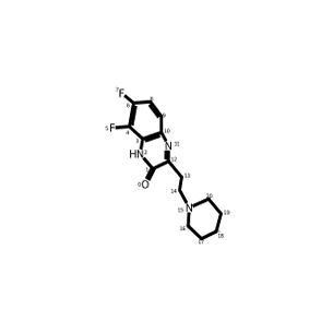 O=c1[nH]c2c(F)c(F)ccc2nc1CCN1CC[CH]CC1